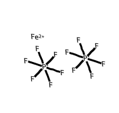 F[P-](F)(F)(F)(F)F.F[P-](F)(F)(F)(F)F.[Fe+2]